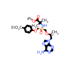 CCOC(=O)c1ccc(OC[P@@](=O)(CO[C@H](C)Cn2cnc3c(N)ncnc32)NC(C)(C)C(=O)OC(C)C)cc1